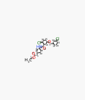 CCOC(=O)Cc1ccc(NC(=O)c2cc(OCc3cccc(Cl)c3)ccc2Cl)cc1